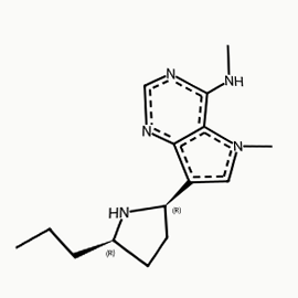 CCC[C@@H]1CC[C@H](c2cn(C)c3c(NC)ncnc23)N1